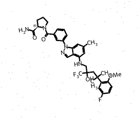 COc1ccc(F)cc1C(C)(C)CC(O)(CNc1cc(C)cc2c1cnn2-c1cccc(C(=O)N2CCC[C@@H]2C(N)=O)c1)C(F)(F)F